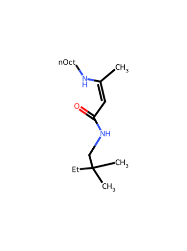 CCCCCCCCN/C(C)=C\C(=O)NCC(C)(C)CC